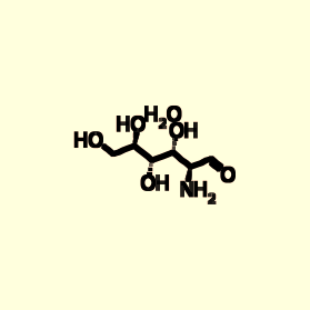 N[C@H](C=O)[C@@H](O)[C@H](O)[C@H](O)CO.O